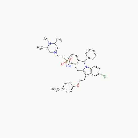 CC(=O)N1C(C)CN(CCS(=O)(=O)NCCc2c(CCOc3ccc(C(=O)O)cc3)c3cc(Cl)ccc3n2C(c2ccccc2)c2ccccc2)CC1C